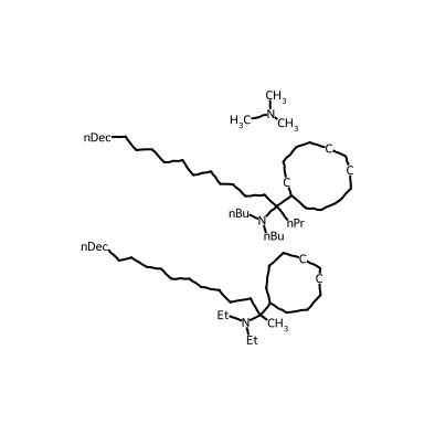 CCCCCCCCCCCCCCCCCCCCC(C)(C1CCCCCCCCC1)N(CC)CC.CCCCCCCCCCCCCCCCCCCCCC(CCC)(C1CCCCCCCCCCC1)N(CCCC)CCCC.CN(C)C